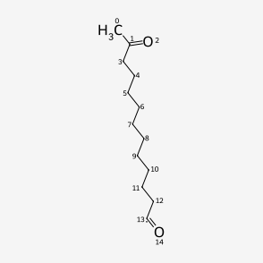 CC(=O)CCCCCCCCCC[C]=O